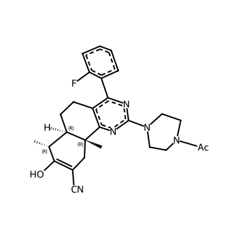 CC(=O)N1CCN(c2nc(-c3ccccc3F)c3c(n2)[C@]2(C)CC(C#N)=C(O)[C@H](C)[C@H]2CC3)CC1